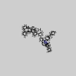 Cc1ccc(-c2cccc(-c3ccc4c(c3)C(C)(C)c3cc5c6ccccc6c6ccccc6c5cc3-4)c2)cc1N(C1=CC=C(C2=CCCC=C2)CC1)c1ccc(-c2ccccc2)cc1